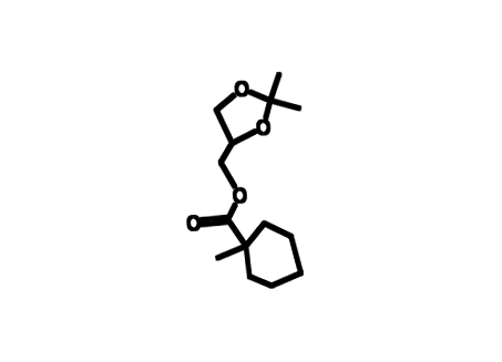 CC1(C)OCC(COC(=O)C2(C)CCCCC2)O1